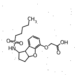 CCCCCS(=O)(=O)NC1CCC2Oc3c(OCC(=O)O)cccc3C12